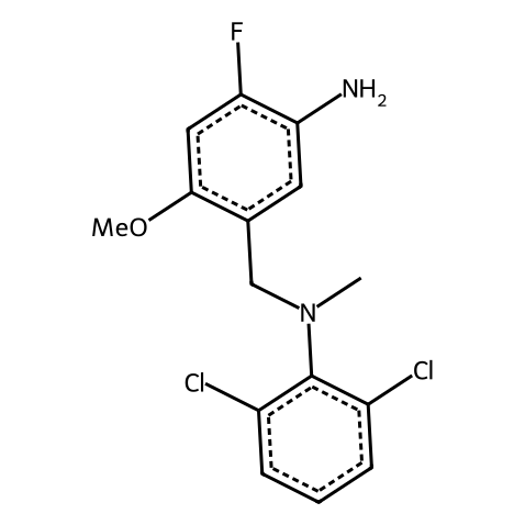 COc1cc(F)c(N)cc1CN(C)c1c(Cl)cccc1Cl